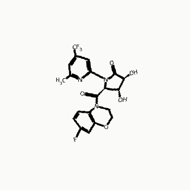 Cc1cc(C(F)(F)F)cc(N2C(=O)[C@@H](O)[C@@H](O)[C@H]2C(=O)N2CCOc3cc(F)ccc32)n1